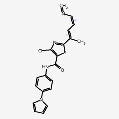 C=N/C=C\C=C(/C)c1nc(Cl)c(C(=O)Nc2ccc(-n3cccc3)cc2)s1